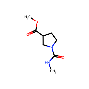 CNC(=O)N1CCC(C(=O)OC)C1